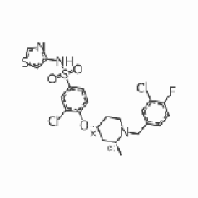 C[C@H]1C[C@H](Oc2ccc(S(=O)(=O)Nc3cscn3)cc2Cl)CCN1Cc1ccc(F)c(Cl)c1